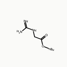 CCCCOC(=O)CNC(=N)N